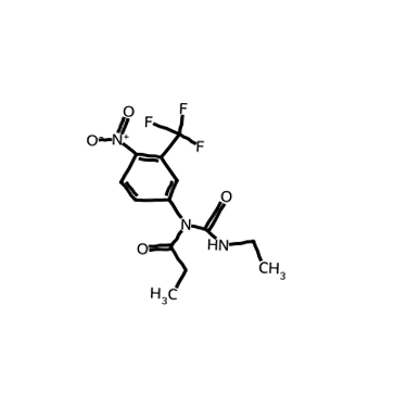 CCNC(=O)N(C(=O)CC)c1ccc([N+](=O)[O-])c(C(F)(F)F)c1